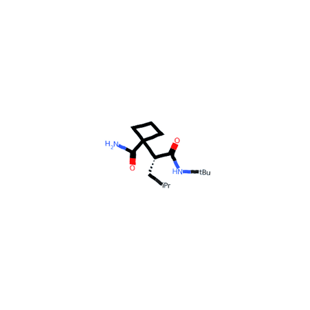 CC(C)C[C@@H](C(=O)NC(C)(C)C)C1(C(N)=O)CCC1